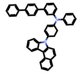 C1=C(N(c2ccccc2)c2cccc(-c3ccc(-c4ccccc4)cc3)c2)CCC(n2c3ccccc3c3c4ccccc4ccc32)=C1